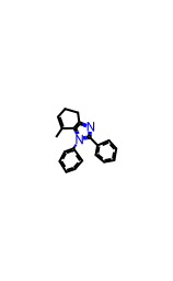 CC1=CCCc2nc(-c3ccccc3)n(-c3ccccc3)c21